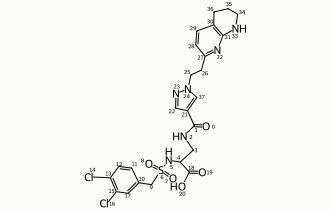 O=C(NCC(NS(=O)(=O)Cc1ccc(Cl)c(Cl)c1)C(=O)O)c1cnn(CCc2ccc3c(n2)NCCC3)c1